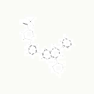 CC(C)(C#N)C(=O)N1CCN(c2cccc(-c3cnc4c(N5CCOCC5)nc(-c5cccnc5)nc4c3)c2)CC1